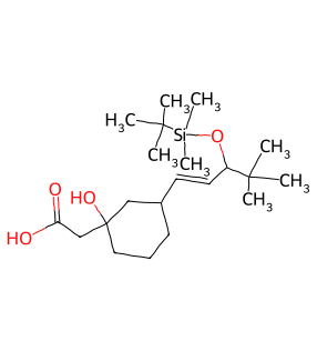 CC(C)(C)C(C=CC1CCCC(O)(CC(=O)O)C1)O[Si](C)(C)C(C)(C)C